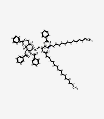 CCCCCCCCCCCCC/C=C/[C@@H](OC(=O)c1ccccc1)[C@H](CO[C@@H]1O[C@@H]2COC(c3ccccc3)O[C@H]2[C@H](OC(=O)c2ccccc2)[C@H]1OC(=O)c1ccccc1)NC(=O)CCCCCCCCCCCCCCC